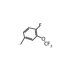 [CH2]c1ccc(F)c(OC(F)(F)F)c1